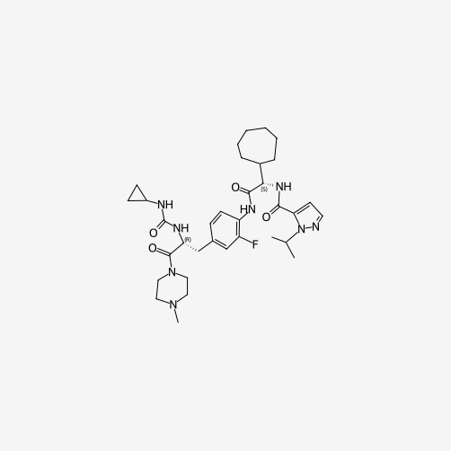 CC(C)n1nccc1C(=O)N[C@H](C(=O)Nc1ccc(C[C@@H](NC(=O)NC2CC2)C(=O)N2CCN(C)CC2)cc1F)C1CCCCCC1